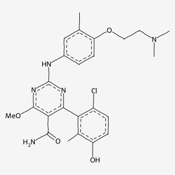 COc1nc(Nc2ccc(OCCN(C)C)c(C)c2)nc(-c2c(Cl)ccc(O)c2C)c1C(N)=O